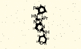 CC(C)n1c(Nc2ccccc2F)nc2cnc(NC3CCOCC3)nc21